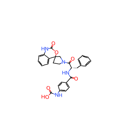 O=C(O)Nc1ccc(C(=O)N[C@@H](Cc2ccccc2)C(=O)N2CCC3(C2)OC(=O)Nc2ccccc23)cc1